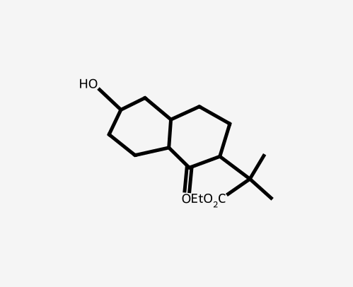 CCOC(=O)C(C)(C)C1CCC2CC(O)CCC2C1=O